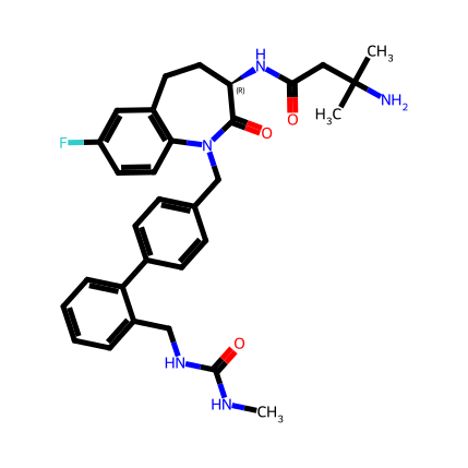 CNC(=O)NCc1ccccc1-c1ccc(CN2C(=O)[C@H](NC(=O)CC(C)(C)N)CCc3cc(F)ccc32)cc1